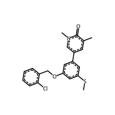 CSc1cc(OCc2ccccc2Cl)cc(-c2cc(C)c(=O)n(C)c2)c1